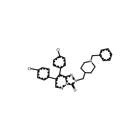 O=c1n(CC2CCN(Cc3ccccc3)CC2)nc2c(-c3ccc(Cl)cc3)c(-c3ccc(Cl)cc3)cnn12